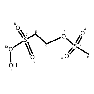 CS(=O)(=O)OCCS(=O)(=O)OO